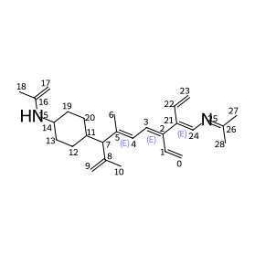 C=CC(=C\C=C(/C)C(C(=C)C)C1CCC(NC(=C)C)CC1)/C(C=C)=C/N=C(C)C